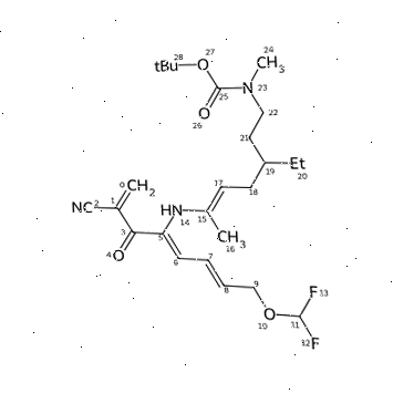 C=C(C#N)C(=O)/C(=C/C=C/COC(F)F)N/C(C)=C/CC(CC)CCN(C)C(=O)OC(C)(C)C